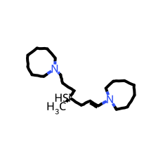 C[SiH](CC=CN1CCCCCCC1)CCCN1CCCCCCC1